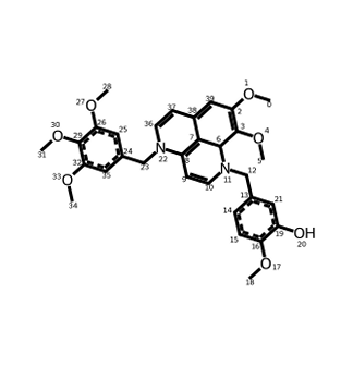 COC1=C(OC)C2C3=C(C=CN2Cc2ccc(OC)c(O)c2)N(Cc2cc(OC)c(OC)c(OC)c2)C=CC3=C1